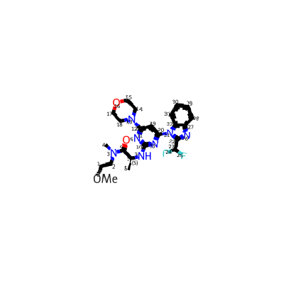 COCCN(C)C(=O)[C@H](C)Nc1nc(N2CCOCC2)cc(-n2c(C(F)F)nc3ccccc32)n1